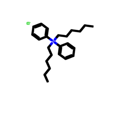 CCCCCC[N+](CCCCCC)(c1ccccc1)c1ccccc1.[Cl-]